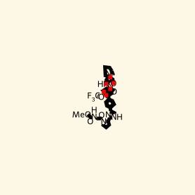 COC(=O)NCC(=O)N1CCCC1c1nc(-c2ccc(-c3ccc(NC(=O)N4CC5CCC(C4)N5C4CCN(C(=O)C5CC5)CC4)cc3OC(F)(F)F)cc2)c[nH]1